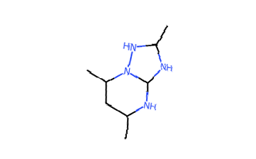 CC1CC(C)N2NC(C)NC2N1